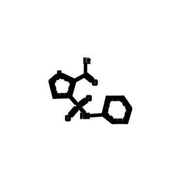 CCC(=O)c1sccc1S(=O)(=O)Nc1ccccc1